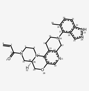 C=CC(=O)N1CCN2c3c(cnc4c3CCN(c3c(C)ccc5[nH]ncc35)C4)OC[C@H]2C1